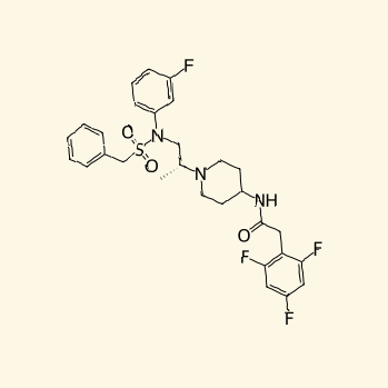 C[C@H](CN(c1cccc(F)c1)S(=O)(=O)Cc1ccccc1)N1CCC(NC(=O)Cc2c(F)cc(F)cc2F)CC1